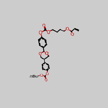 C=CC(=O)OCCCCOC(=O)Oc1ccc(C2OCC(c3ccc(OC(=O)OCCCC)cc3)CO2)cc1